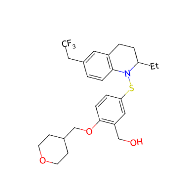 CCC1CCc2cc(CC(F)(F)F)ccc2N1Sc1ccc(OCC2CCOCC2)c(CO)c1